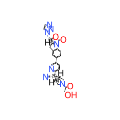 N#C[C@]1(c2ccc(-c3ccc4c(c3)C[C@H]3[C@H](Cn5ccnn5)OC(=O)N43)cn2)[C@@H]2CN(C(=O)CO)C[C@@H]21